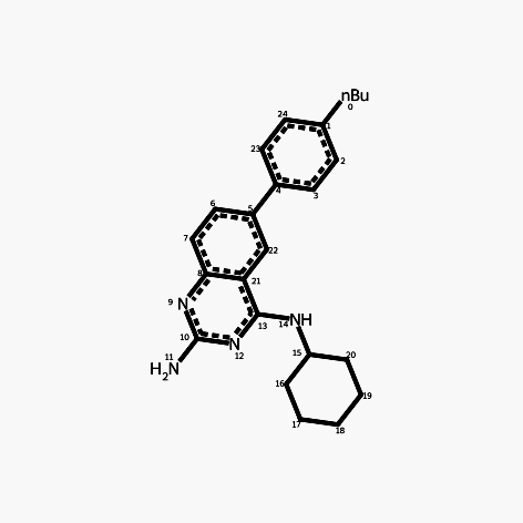 CCCCc1ccc(-c2ccc3nc(N)nc(NC4CCCCC4)c3c2)cc1